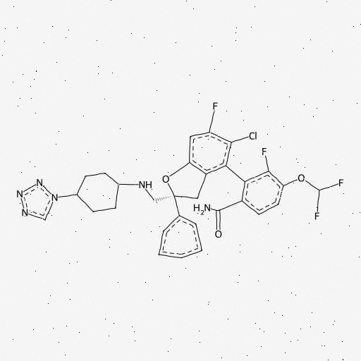 NC(=O)c1ccc(OC(F)F)c(F)c1-c1c(Cl)c(F)cc2c1C[C@@](CNC1CCC(n3cnnn3)CC1)(c1ccccc1)O2